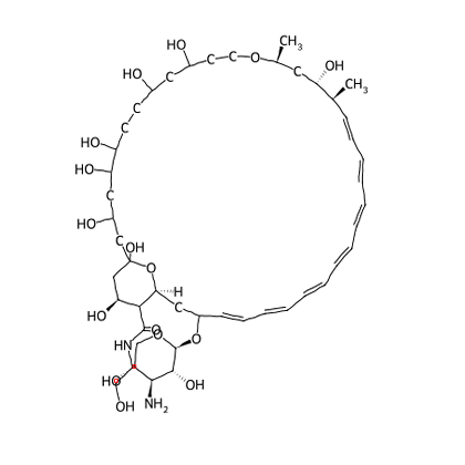 C[C@H]1C[C@H](O)[C@@H](C)/C=C/C=C/C=C/C=C/C=C/C=C/C=C/C(O[C@@H]2OC[C@@H](O)[C@H](N)[C@H]2O)C[C@@H]2OC(O)(CC(O)CC(O)C(O)CCC(O)CC(O)CCO1)C[C@H](O)C2C(=O)NCCO